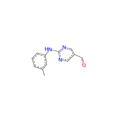 Cc1cccc(Nc2ncc(C=O)cn2)c1